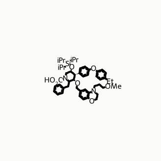 CCc1ccc(Oc2ccc([C@H]3[C@H](O[Si](C(C)C)(C(C)C)C(C)C)CN(C(=O)O)C(Cc4ccccc4)[C@@H]3OCc3ccc4c(c3)N(CCCOC)CCO4)cc2)cc1